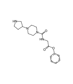 O=C(CNC(=O)N1CCN(C2CCNC2)CC1)Oc1ccccc1